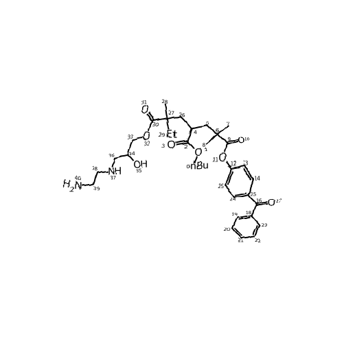 CCCCOC(=O)C(CC(C)(C)C(=O)Oc1ccc(C(=O)c2ccccc2)cc1)CC(C)(CC)C(=O)OCC(O)CNCCN